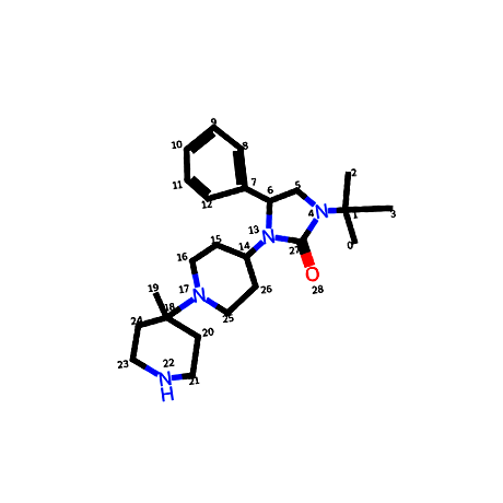 CC(C)(C)N1CC(c2ccccc2)N(C2CCN(C3(C)CCNCC3)CC2)C1=O